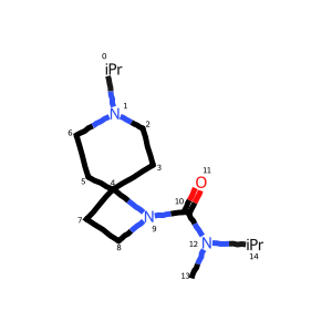 CC(C)N1CCC2(CC1)CCN2C(=O)N(C)C(C)C